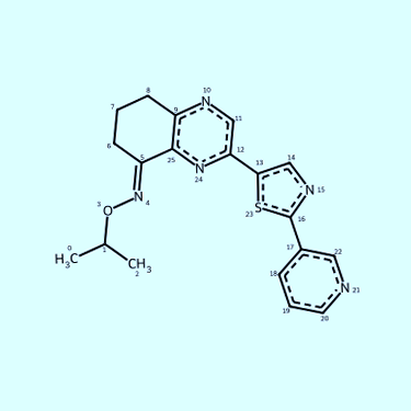 CC(C)O/N=C1\CCCc2ncc(-c3cnc(-c4cccnc4)s3)nc21